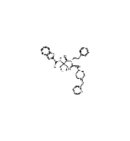 O=C(NC1(C(=O)N(CCc2ccccc2)C(=O)NC2CCN(Cc3ccccn3)CC2)CCCC1)c1cc2ccccc2s1